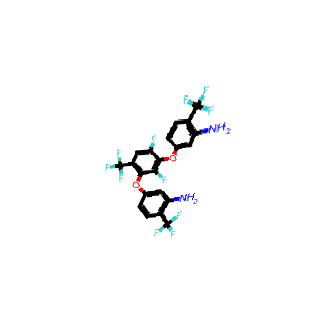 Nc1cc(Oc2c(F)cc(C(F)(F)F)c(Oc3ccc(C(F)(F)F)c(N)c3)c2F)ccc1C(F)(F)F